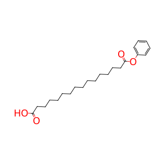 O=C(O)CCCCCCCCCCCCCCC(=O)Oc1ccccc1